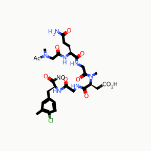 CC(=O)N(C)CC(=O)N[C@@H](CCC(N)=O)C(=O)NCC(=O)N(C)[C@@H](CC(=O)O)C(=O)NCC(=O)N[C@@H](Cc1ccc(Cl)c(C)c1)C(=O)N=O